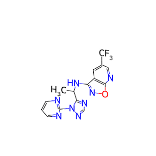 CC(Nc1noc2ncc(C(F)(F)F)cc12)c1ncnn1-c1ncccn1